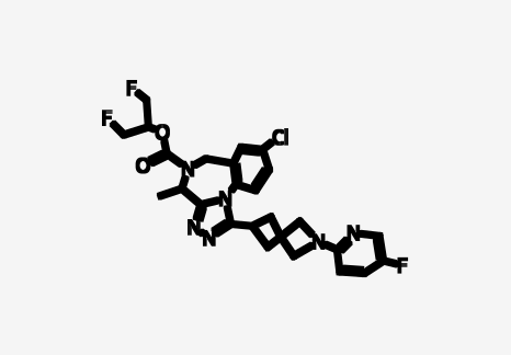 CC1c2nnc(C3CC4(C3)CN(c3ccc(F)cn3)C4)n2-c2ccc(Cl)cc2CN1C(=O)OC(CF)CF